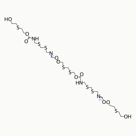 O=C(NCSCSC/N=C/OOCSCSCOC(=O)NCSCSC/N=C/OOCCSCCO)OCCSCCO